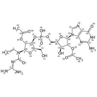 C=CN(C(=O)N=C(N)N)[C@@H]1O[C@H](CO)[C@H](OP(=O)(O)OC[C@H]2O[C@@H](n3cnc4c(=O)[nH]c(N)nc43)C(OC(C)=O)[C@H]2O)C1OC(C)=O